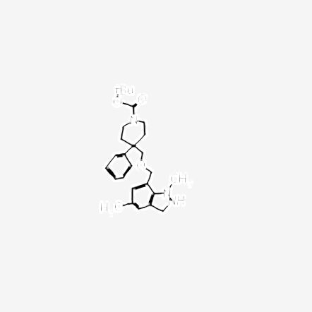 Cc1cc2c(c(COCC3(c4ccccc4)CCN(C(=O)OC(C)(C)C)CC3)c1)N(C)NC2